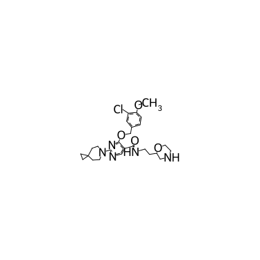 COc1ccc(COc2nc(N3CCC4(CC3)CC4)ncc2C(=O)NCCC2CNCCO2)cc1Cl